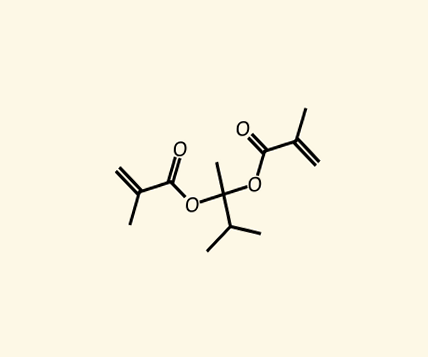 C=C(C)C(=O)OC(C)(OC(=O)C(=C)C)C(C)C